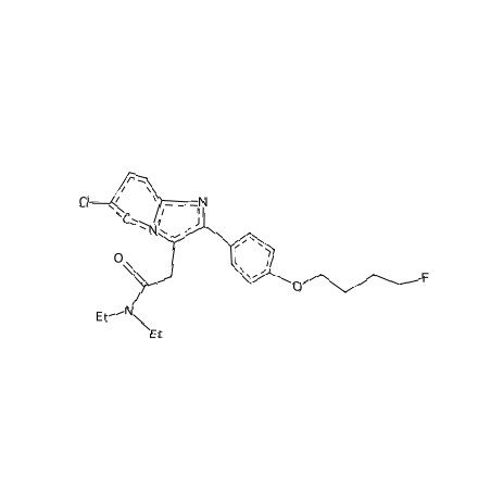 CCN(CC)C(=O)Cc1c(-c2ccc(OCCCCF)cc2)nc2ccc(Cl)cn12